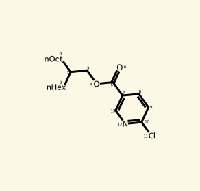 CCCCCCCCC(CCCCCC)COC(=O)c1ccc(Cl)nc1